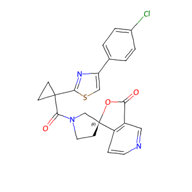 O=C1O[C@]2(CCN(C(=O)C3(c4nc(-c5ccc(Cl)cc5)cs4)CC3)C2)c2ccncc21